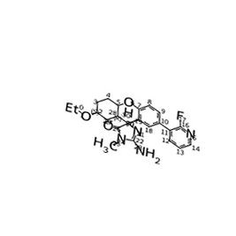 CCO[C@H]1CCC2Oc3ccc(-c4cccnc4F)cc3[C@]3(N=C(N)N(C)C3=O)[C@H]2C1